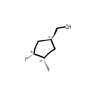 OC[C@@H]1C[C@@H](F)[C@@H](F)C1